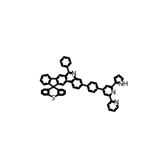 c1ccc(-c2nc3cc(-c4ccc(-c5cc(-c6ccccn6)nc(-c6ccc[nH]6)c5)cc4)ccc3c3cc4c(cc23)-c2ccccc2C42c3ccccc3Sc3ccccc32)cc1